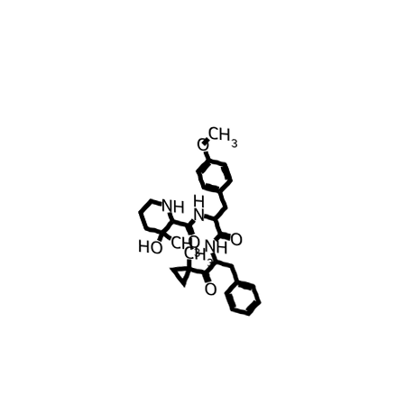 COc1ccc(CC(NC(=O)C2NCCCC2(C)O)C(=O)NC(Cc2ccccc2)C(=O)C2(C)CC2)cc1